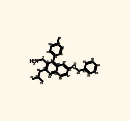 Cc1ccc(-c2c(CN)c(CC(C)C)nc3ccc(OCc4ccccc4)cc23)cc1